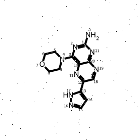 Nc1nc(N2CCOCC2)c2nc(-c3ccn[nH]3)cnc2n1